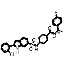 C[C@@H](NC(=O)C1CCC(NS(=O)(=O)c2ccc3cc(-c4ccccc4Cl)[nH]c3c2)CC1)c1ccc(F)cc1